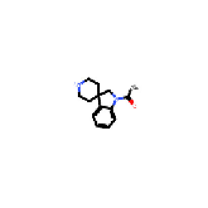 CCCCC(=O)N1CC2(CCNCC2)c2ccccc21